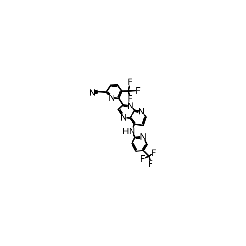 N#Cc1ccc(C(F)(F)F)c(-c2cnc3c(Nc4ccc(C(F)(F)F)cn4)ccnc3n2)n1